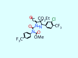 CCOC(=O)C1(C)C(=C=O)N(C(=O)N(C(=O)OC)c2ccc(C(F)(F)F)cc2)N=C1c1ccc(C(F)(F)F)c(Cl)c1